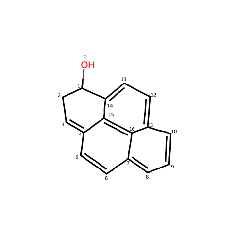 OC1CC=c2ccc3cccc4ccc1c2c43